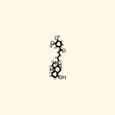 COc1ccc(C(=O)CCCCN2CC[C@H]3c4cccc(O)c4CC[C@H]32)cc1OC